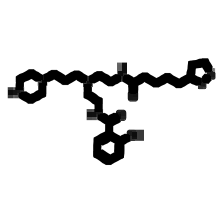 O=C(CCCCC1CCSS1)NCCN(CCCN1CCNCC1)CCNC(=O)c1ccccc1O